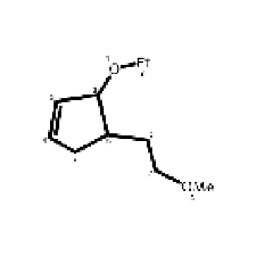 CCOC1C=CCC1CCOC